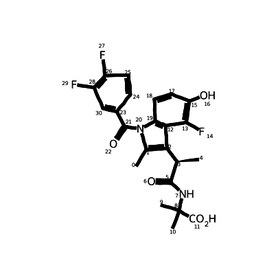 Cc1c([C@@H](C)C(=O)NC(C)(C)C(=O)O)c2c(F)c(O)ccc2n1C(=O)c1ccc(F)c(F)c1